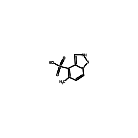 CC1=C(S(=O)(=O)O)C2=CNSN2C=C1